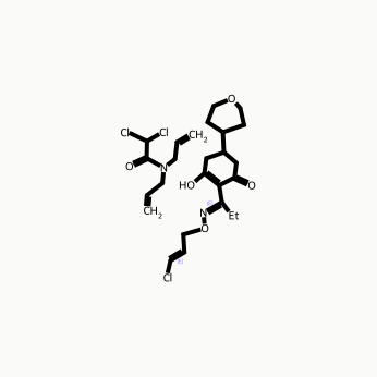 C=CCN(CC=C)C(=O)C(Cl)Cl.CC/C(=N\OC/C=C/Cl)C1=C(O)CC(C2CCOCC2)CC1=O